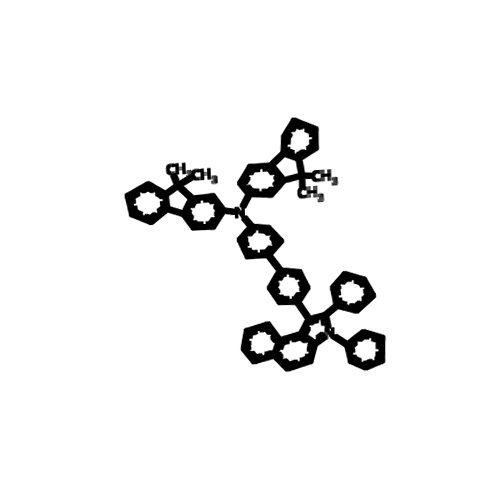 CC1(C)c2ccccc2-c2ccc(N(c3ccc(-c4ccc(-c5c(-c6ccccc6)n(-c6ccccc6)c6ccc7ccccc7c56)cc4)cc3)c3ccc4c(c3)C(C)(C)c3ccccc3-4)cc21